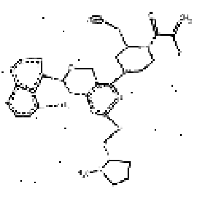 C=C(F)C(=O)N1CCN(c2nc(OC[C@@H]3CCCN3C)nc3c2COC(c2cccc4cccc(C)c24)C3)CC1CC#N